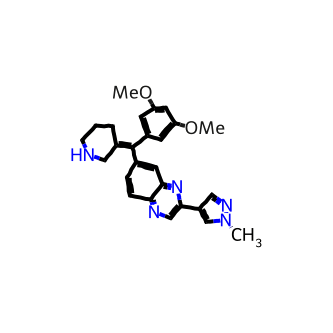 COc1cc(OC)cc(/C(=C2\CCCNC2)c2ccc3ncc(-c4cnn(C)c4)nc3c2)c1